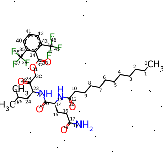 CCCCCCCCCCCC(=O)N[C@@H](CCC(N)=O)C(=O)N[C@@H](CC(C)C)C(=O)COC(=O)c1c(C(F)(F)F)cccc1C(F)(F)F